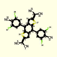 N#CC(C#N)=c1cc2c(-c3cc(F)c(C#N)c(F)c3)c3sc(=C(C#N)C#N)cc3c(-c3cc(F)c(C#N)c(F)c3)c2s1